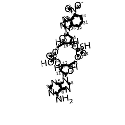 Nc1ncnc2c1ncn2[C@H]1C[C@@H]2OP(=O)(O)OC[C@H]3O[C@@H](n4nnc5c([N+](=O)[O-])cccc54)C[C@@H]3OP(=O)(S)OC[C@H]2O1